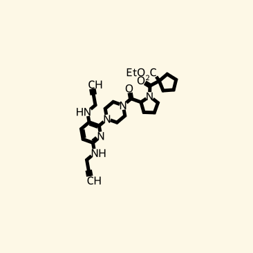 C#CCNc1ccc(NCC#C)c(N2CCN(C(=O)C3CCCN3C(=O)C3(C(=O)OCC)CCCC3)CC2)n1